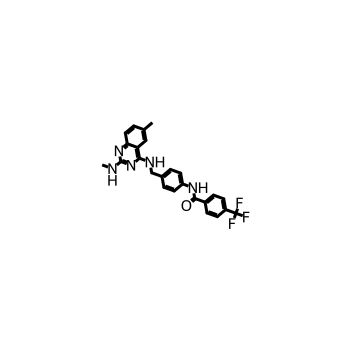 CNc1nc(NCc2ccc(NC(=O)c3ccc(C(F)(F)F)cc3)cc2)c2cc(C)ccc2n1